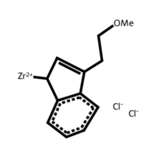 COCCC1=C[CH]([Zr+2])c2ccccc21.[Cl-].[Cl-]